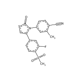 Cc1cc(-n2c(-c3ccc(S(C)(=O)=O)c(F)c3)csc2=O)ccc1C#N